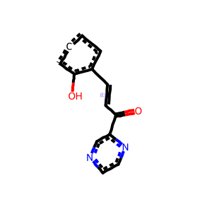 O=C(/C=C/c1ccccc1O)c1cnccn1